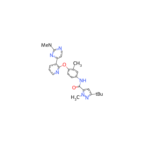 CNc1nccc(-c2cccnc2Oc2ccc(NC(=O)c3cc(C(C)(C)C)nn3C)cc2C)n1